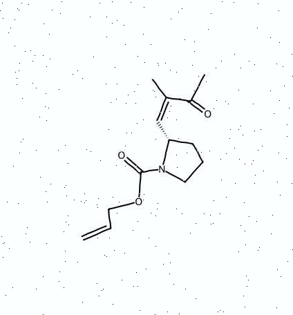 C=CCOC(=O)N1CCC[C@H]1C=C(C)C(C)=O